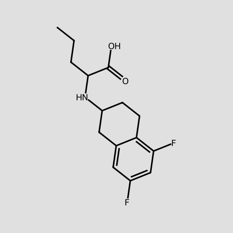 CCCC(NC1CCc2c(F)cc(F)cc2C1)C(=O)O